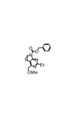 CCc1nc(COC)c2ncn(C(=O)OCc3ccccc3)c2n1